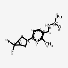 Cc1nc(N2CC3C(C2)C3(F)F)ccc1CN[S+]([O-])C(C)(C)C